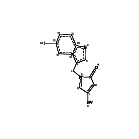 CCCC1=CC(=O)[N+](Cc2cnc3ccc(I)cn23)=C1